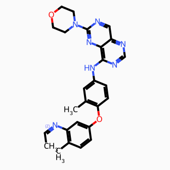 C/C=N\c1cc(Oc2ccc(Nc3ncnc4cnc(N5CCOCC5)nc34)cc2C)ccc1C